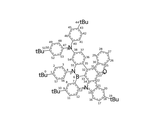 CC(C)(C)c1ccc(N2B3c4cc(C(C)(C)C)ccc4-n4c5ccc(C(C)(C)C)cc5c5c6oc7ccccc7c6c(c3c54)-c3ccc(N(c4ccc(C(C)(C)C)cc4)c4ccc(C(C)(C)C)cc4)cc32)cc1